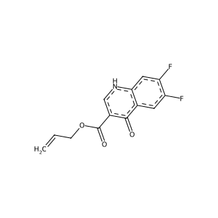 C=CCOC(=O)c1c[nH]c2cc(F)c(F)cc2c1=O